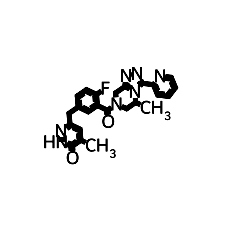 Cc1cc(Cc2ccc(F)c(C(=O)N3Cc4nnc(-c5ccccn5)n4C(C)C3)c2)n[nH]c1=O